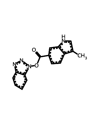 Cc1c[nH]c2cc(C(=O)On3nnc4ccccc43)ccc12